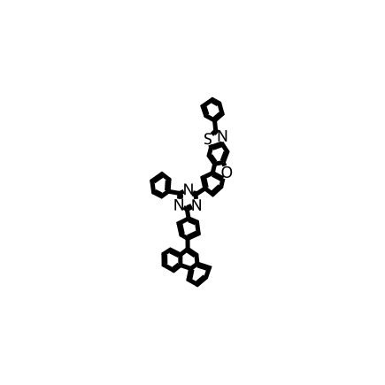 c1ccc(-c2nc(-c3ccc(-c4cc5ccccc5c5ccccc45)cc3)nc(-c3ccc4oc5cc6nc(-c7ccccc7)sc6cc5c4c3)n2)cc1